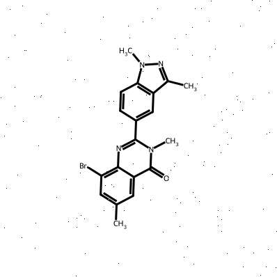 Cc1cc(Br)c2nc(-c3ccc4c(c3)c(C)nn4C)n(C)c(=O)c2c1